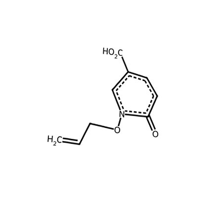 C=CCOn1cc(C(=O)O)ccc1=O